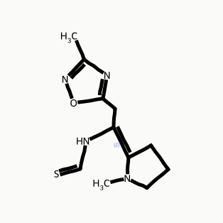 Cc1noc(C/C(NC=S)=C2\CCCN2C)n1